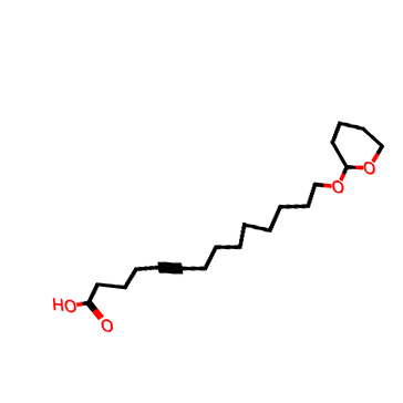 O=C(O)CCCC#CCCCCCCCCOC1CCCCO1